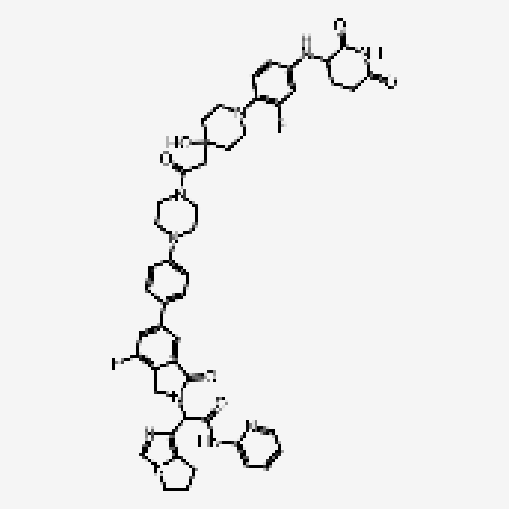 O=C1CCC(Nc2ccc(N3CCC(O)(CC(=O)N4CCN(c5ccc(-c6cc(F)c7c(c6)C(=O)N(C(C(=O)Nc6ccccn6)c6ncn8c6CCC8)C7)cc5)CC4)CC3)c(F)c2)C(=O)N1